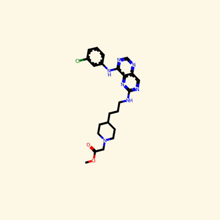 COC(=O)CN1CCC(CCCNc2ncc3ncnc(Nc4cccc(Cl)c4)c3n2)CC1